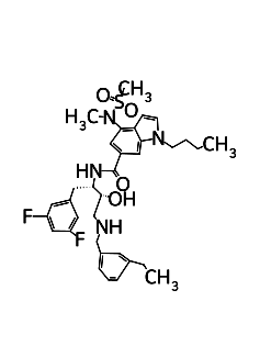 CCCCn1ccc2c(N(C)S(C)(=O)=O)cc(C(=O)N[C@@H](Cc3cc(F)cc(F)c3)[C@H](O)CNCc3cccc(CC)c3)cc21